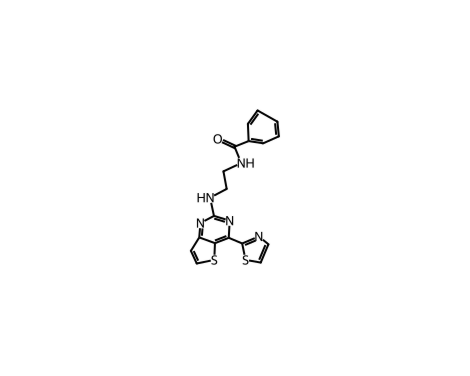 O=C(NCCNc1nc(-c2nccs2)c2sccc2n1)c1ccccc1